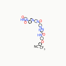 N#Cc1ccc(O[C@H]2CC[C@H](NC(=O)c3cnc(N4CCC(C(=O)N5CCC(n6ccc7c(N8CCC(=O)NC8=O)cccc76)CC5)CC4)nc3)CC2)cc1C(F)(F)F